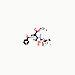 CCOC(=O)C1C(CNC(=O)c2ccccc2)C1[C@H](NC(=O)OC(C)(C)C)C(=O)O